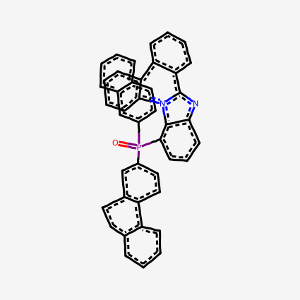 O=P(c1ccc2ccccc2c1)(c1ccc2c(ccc3ccccc32)c1)c1cccc2nc3c4ccccc4c4ccccc4n3c12